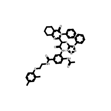 CC(=O)Nc1ccc(C(=O)NCCOc2ccc(C)cc2C)cc1NC(=O)C(Sc1nnnn1-c1ccccc1)c1nc2c(c(=O)n1-c1ccccc1)CCCC2